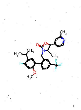 COc1cc(F)c(C(C)C)cc1-c1ccc(C(F)(F)F)cc1CN1C(=O)O[C@H](c2ccnc(C)c2)[C@H]1C